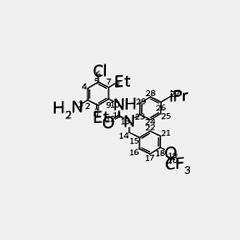 CCc1c(N)cc(Cl)c(CC)c1NC(=O)N(Cc1ccc(OC(F)(F)F)cc1)c1ccc(C(C)C)cc1